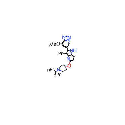 CCCC(CCC)N1CCC(Oc2ccc3[nH]c(-c4cc(OC)c5ncnn5c4)c(C(C)C)c3n2)CC1